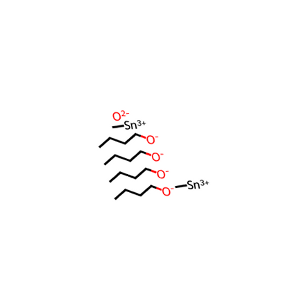 CCCC[O-].CCCC[O-].CCCC[O-].CCCC[O-].[CH3][Sn+3].[CH3][Sn+3].[O-2]